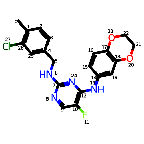 Cc1ccc(CNc2ncc(F)c(Nc3ccc4c(c3)OCCO4)n2)cc1Cl